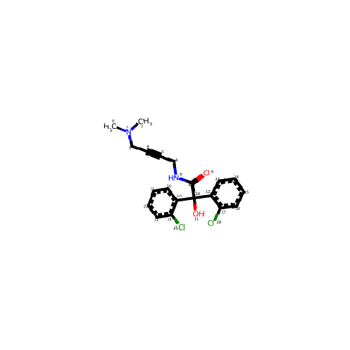 CN(C)CC#CCNC(=O)C(O)(c1ccccc1Cl)c1ccccc1Cl